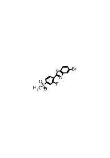 CS(=O)(=O)c1ccc(-c2nc3cc(Br)ccc3s2)c(F)c1